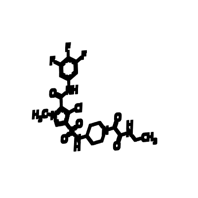 CCNC(=O)C(=O)N1CCC(NS(=O)(=O)c2cn(C)c(C(=O)Nc3cc(F)c(F)c(F)c3)c2Cl)CC1